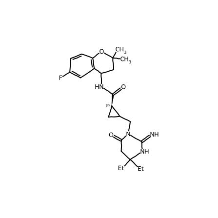 CCC1(CC)CC(=O)N(CC2C[C@H]2C(=O)NC2CC(C)(C)Oc3ccc(F)cc32)C(=N)N1